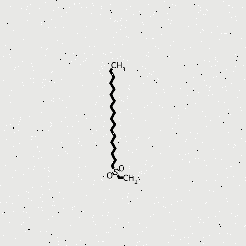 [CH2]CS(=O)(=O)CCCCCCCCCCCCCCCCCC